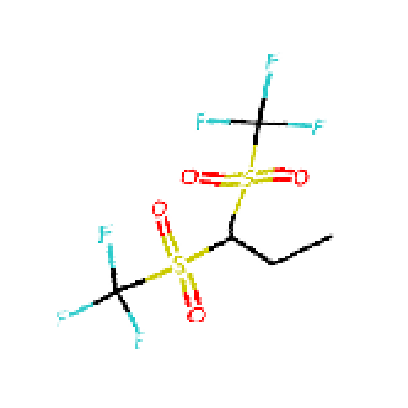 CCC(S(=O)(=O)C(F)(F)F)S(=O)(=O)C(F)(F)F